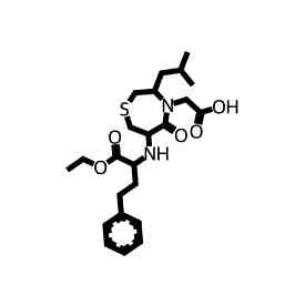 CCOC(=O)C(CCc1ccccc1)NC1CSCC(CC(C)C)N(CC(=O)O)C1=O